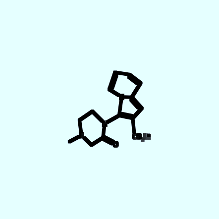 CCOC(=O)c1cc2ccccn2c1N1CCN(C)CC1=O